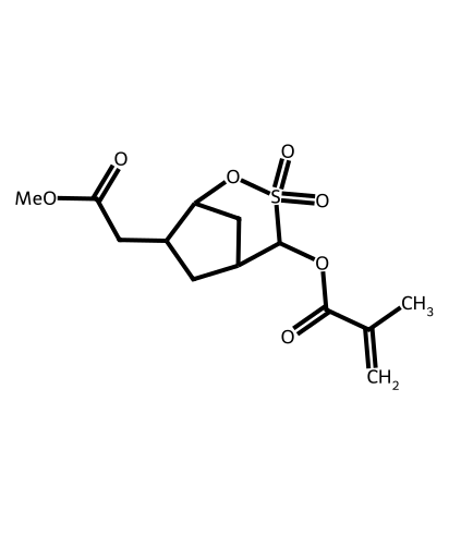 C=C(C)C(=O)OC1C2CC(CC(=O)OC)C(C2)OS1(=O)=O